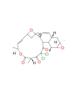 C[C@@H]1C(=O)O[C@@H](C)/C=C/C2CC(C)(O2)[C@@H]2C=C[C@@H]3C[C@@]4(C)O[C@H]4[C@@H](C)C3C2C(=O)C(Cl)(Cl)C1=O